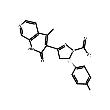 CCC(=O)N1N=C(c2c(C)c3ccncc3[nH]c2=O)C[C@H]1c1ccc(C)cc1